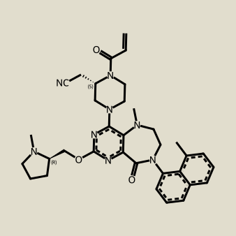 C=CC(=O)N1CCN(c2nc(OC[C@H]3CCCN3C)nc3c2N(C)CCN(c2cccc4cccc(C)c24)C3=O)C[C@@H]1CC#N